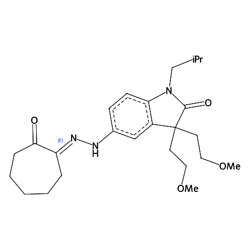 COCCC1(CCOC)C(=O)N(CC(C)C)c2ccc(N/N=C3\CCCCCC3=O)cc21